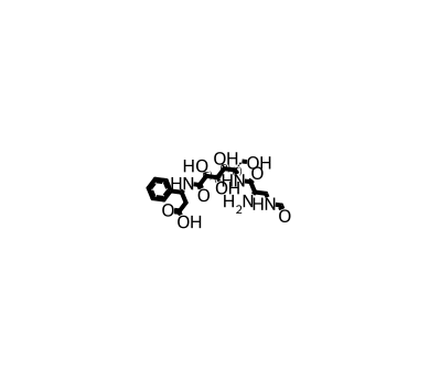 NC(CNC=O)C(=O)N[C@@H](CO)[C@@H](O)[C@@H](O)[C@H](O)C(=O)NC(CC(=O)O)c1ccccc1